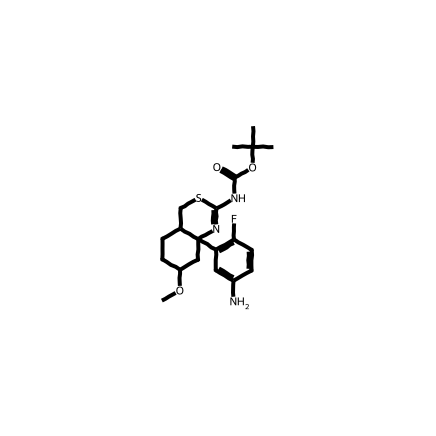 COC1CCC2CSC(NC(=O)OC(C)(C)C)=NC2(c2cc(N)ccc2F)C1